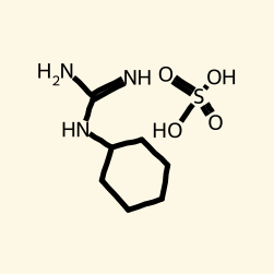 N=C(N)NC1CCCCC1.O=S(=O)(O)O